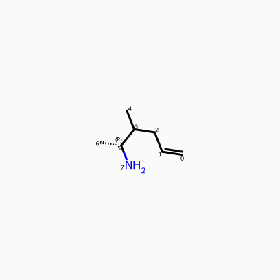 C=CCC(C)[C@@H](C)N